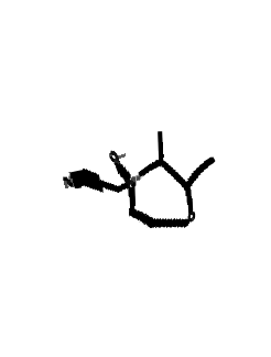 CC1OCC[N+]([O-])(C#N)C1C